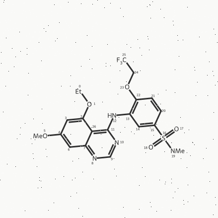 CCOc1cc(OC)cc2ncnc(Nc3cc(S(=O)(=O)NC)ccc3OCC(F)(F)F)c12